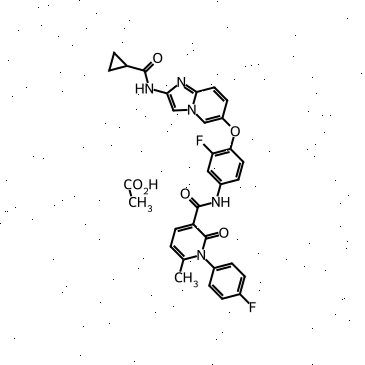 CC(=O)O.Cc1ccc(C(=O)Nc2ccc(Oc3ccc4nc(NC(=O)C5CC5)cn4c3)c(F)c2)c(=O)n1-c1ccc(F)cc1